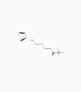 CCCCCCC(=O)C(F)(F)F.c1ccsc1